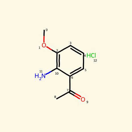 COc1cccc(C(C)=O)c1N.Cl